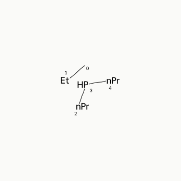 CCC.CCCPCCC